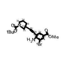 COC(=O)c1cc(Br)c(N)c(C#CC2CCCN(C(=O)OC(C)(C)C)C2)c1